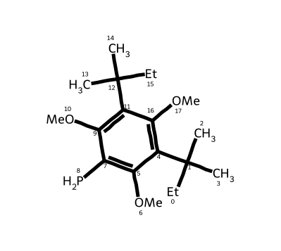 CCC(C)(C)c1c(OC)c(P)c(OC)c(C(C)(C)CC)c1OC